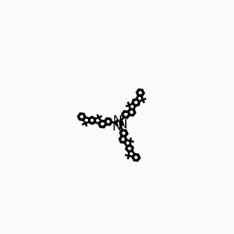 CC1(C)c2ccccc2-c2cc3c(cc21)-c1ccc2cc(-c4nc(-c5ccc6c7c(ccc6c5)-c5cc6c(cc5C7(C)C)-c5ccccc5C6(C)C)nc(-c5ccc6c7c(ccc6c5)-c5cc6c(cc5C7(C)C)-c5ccccc5C6(C)C)n4)ccc2c1C3(C)C